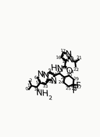 CC(C)[C@H](N)c1cnn2cc([C@@H](NC(=O)c3ccnn3C(C)C)C3CCC(F)(F)CC3)nc2c1